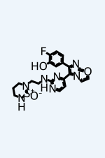 [O-][S+]1NCCCN1CCNc1nccc(-c2c(-c3ccc(F)c(O)c3)nc3occn23)n1